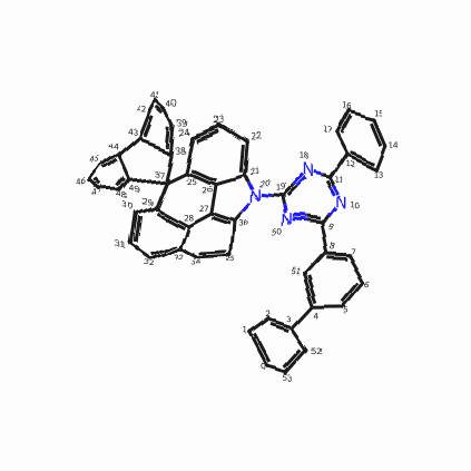 c1ccc(-c2cccc(-c3nc(-c4ccccc4)nc(-n4c5cccc6c5c5c7c(cccc7ccc54)C64c5ccccc5-c5ccccc54)n3)c2)cc1